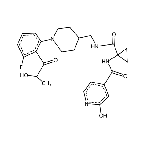 CC(O)C(=O)c1c(F)cccc1N1CCC(CNC(=O)C2(NC(=O)c3ccnc(O)c3)CC2)CC1